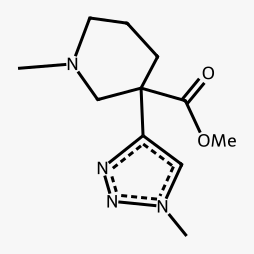 COC(=O)C1(c2cn(C)nn2)CCCN(C)C1